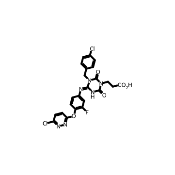 O=C(O)CCn1c(=O)[nH]/c(=N\c2ccc(Oc3ccc(Cl)nn3)c(F)c2)n(Cc2ccc(Cl)cc2)c1=O